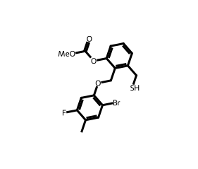 COC(=O)Oc1cccc(CS)c1COc1cc(F)c(C)cc1Br